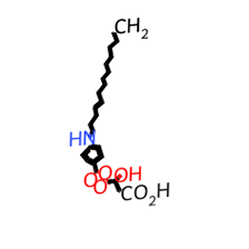 C=CCCCCCCCCC=CCCCNc1ccc(C(=O)OC(=O)C(O)CC(=O)O)cc1